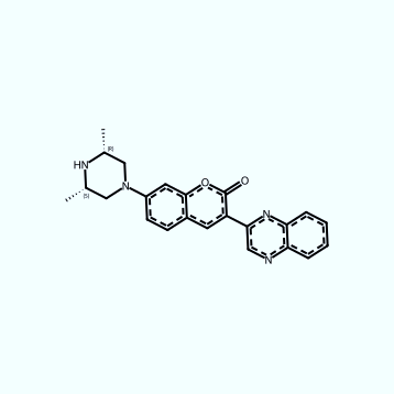 C[C@@H]1CN(c2ccc3cc(-c4cnc5ccccc5n4)c(=O)oc3c2)C[C@H](C)N1